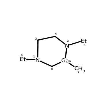 CCN1CC[N](CC)[Ga]([CH3])[CH2]1